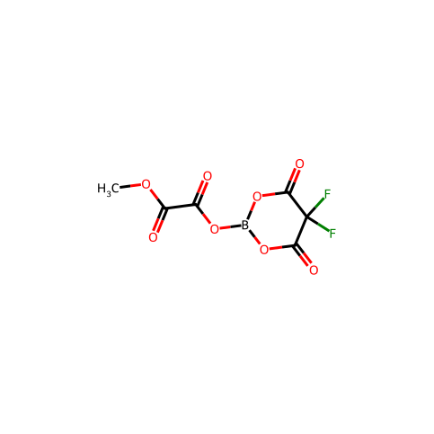 COC(=O)C(=O)OB1OC(=O)C(F)(F)C(=O)O1